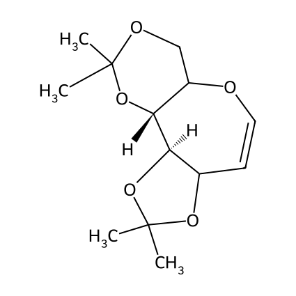 CC1(C)OC2C=COC3COC(C)(C)O[C@H]3[C@@H]2O1